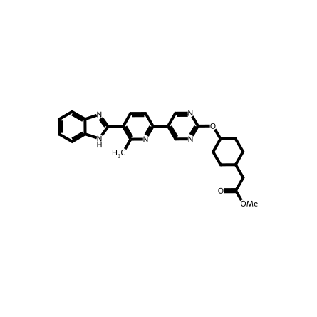 COC(=O)CC1CCC(Oc2ncc(-c3ccc(-c4nc5ccccc5[nH]4)c(C)n3)cn2)CC1